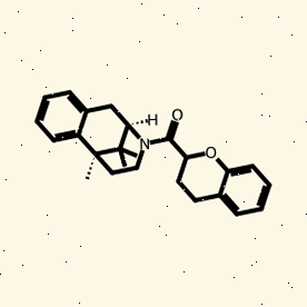 CC1(C)[C@H]2Cc3ccccc3[C@]1(C)CCN2C(=O)C1CCc2ccccc2O1